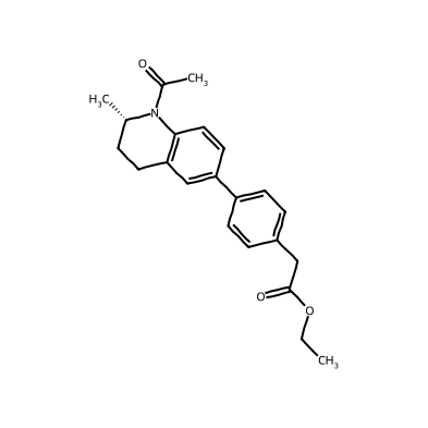 CCOC(=O)Cc1ccc(-c2ccc3c(c2)CC[C@H](C)N3C(C)=O)cc1